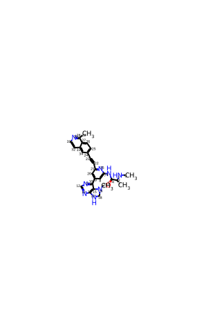 CNC(C)C(=O)Nc1cc(-c2ncnc3c2N(C)CN3)cc(C#Cc2ccc3c(C)nccc3c2)n1